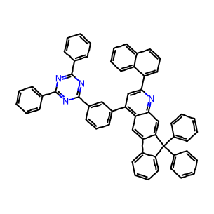 c1ccc(-c2nc(-c3ccccc3)nc(-c3cccc(-c4cc(-c5cccc6ccccc56)nc5cc6c(cc45)-c4ccccc4C6(c4ccccc4)c4ccccc4)c3)n2)cc1